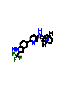 CN1[C@@H]2CC[C@H]1C[C@@H](Nc1ccc(-c3ccc4[nH]c(C(F)(F)F)cc4c3)nc1)C2